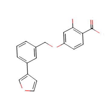 O=C(O)c1ccc(OCc2cccc(-c3ccoc3)c2)cc1O